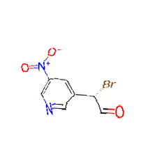 O=C[C@@H](Br)c1cncc([N+](=O)[O-])c1